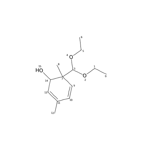 CCOC(OCC)C1(C)C=CC(C)=CC1O